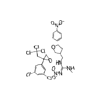 CN/C(=N/[N+](=O)[O-])NCC1CCOC1.Clc1cc(Cl)cc(C2(CC(Cl)(Cl)Cl)CO2)c1.O=[N+]([O-])c1ccccc1